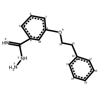 N=C(NN)c1cccc(OCCc2ccccc2)c1